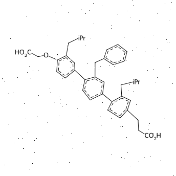 CC(C)Cc1cc(-c2ccc(-c3ccc(CCC(=O)O)cc3CC(C)C)cc2Cc2ccccc2)ccc1OCC(=O)O